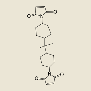 CC(C)(C1CCC(N2C(=O)C=CC2=O)CC1)C1CCC(N2C(=O)C=CC2=O)CC1